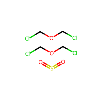 ClCOCCl.ClCOCCl.O=S=O